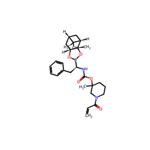 C=CC(=O)N1CCCC(C)(OC(=O)N[C@@H](Cc2ccccc2)B2O[C@@H]3C[C@@H]4C[C@@H](C4(C)C)[C@]3(C)O2)C1